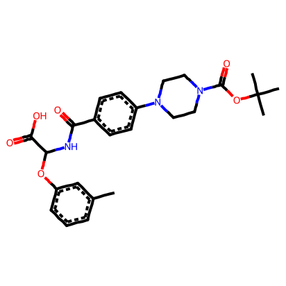 Cc1cccc(OC(NC(=O)c2ccc(N3CCN(C(=O)OC(C)(C)C)CC3)cc2)C(=O)O)c1